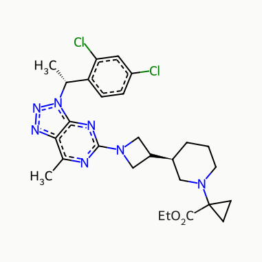 CCOC(=O)C1(N2CCC[C@H](C3CN(c4nc(C)c5nnn([C@H](C)c6ccc(Cl)cc6Cl)c5n4)C3)C2)CC1